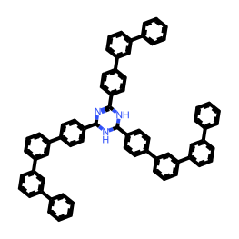 c1ccc(-c2cccc(-c3ccc(C4=NC(c5ccc(-c6cccc(-c7cccc(-c8ccccc8)c7)c6)cc5)NC(c5ccc(-c6cccc(-c7cccc(-c8ccccc8)c7)c6)cc5)N4)cc3)c2)cc1